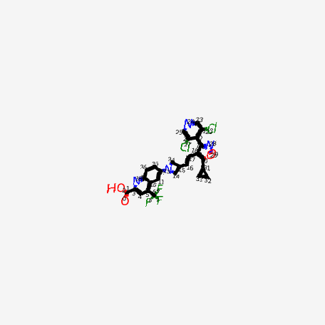 O=C(O)c1cc(C(F)(F)F)c2cc(N3CC(/C=C/c4c(-c5c(Cl)cncc5Cl)noc4C4CC4)C3)ccc2n1